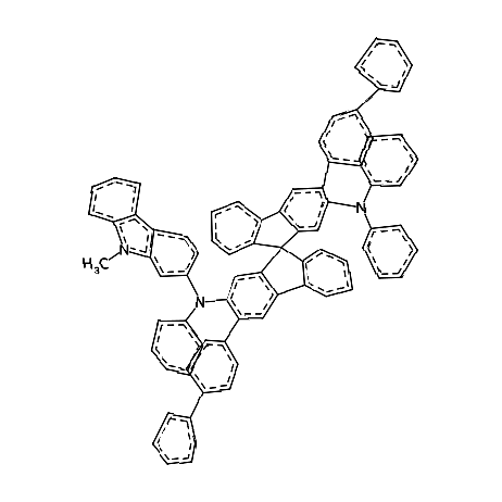 Cn1c2ccccc2c2ccc(N(c3ccccc3)c3cc4c(cc3-c3ccc(-c5ccccc5)cc3)-c3ccccc3C43c4ccccc4-c4cc(-c5ccc(-c6ccccc6)cc5)c(N(c5ccccc5)c5ccccc5)cc43)cc21